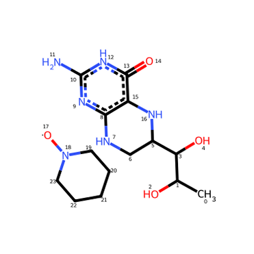 CC(O)C(O)C1CNc2nc(N)[nH]c(=O)c2N1.[O]N1CCCCC1